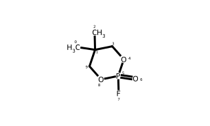 CC1(C)COP(=O)(F)OC1